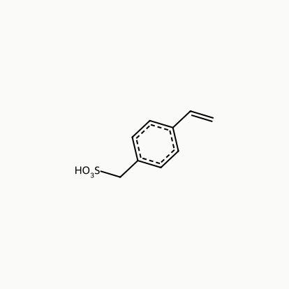 C=Cc1ccc(CS(=O)(=O)O)cc1